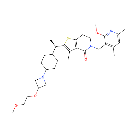 COCCOC1CN(C2CCC([C@@H](C)c3sc4c(c3C)C(=O)N(Cc3c(C)cc(C)nc3OC)CC4)CC2)C1